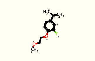 COCCOc1ccc(C(C)C)cc1F